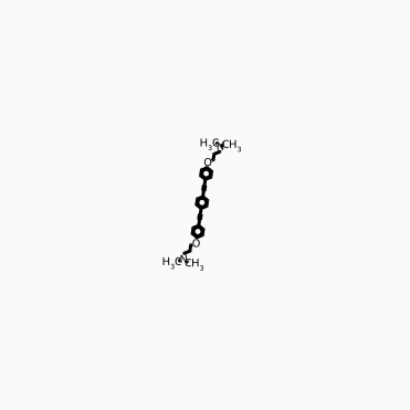 CN(C)CCCOc1ccc(C#Cc2ccc(C#Cc3ccc(OCCCN(C)C)cc3)cc2)cc1